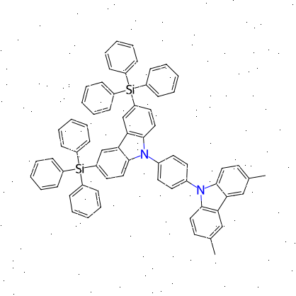 Cc1ccc2c(c1)c1cc(C)ccc1n2-c1ccc(-n2c3ccc([Si](c4ccccc4)(c4ccccc4)c4ccccc4)cc3c3cc([Si](c4ccccc4)(c4ccccc4)c4ccccc4)ccc32)cc1